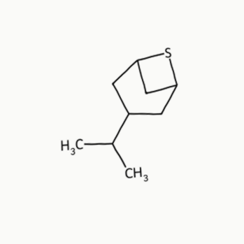 CC(C)C1CC2CC(C1)S2